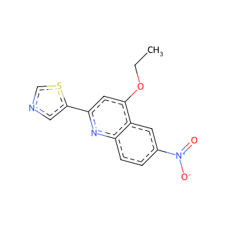 CCOc1cc(-c2cncs2)nc2ccc([N+](=O)[O-])cc12